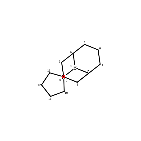 C1CC2CCCC(C1)B2N1CCCC1